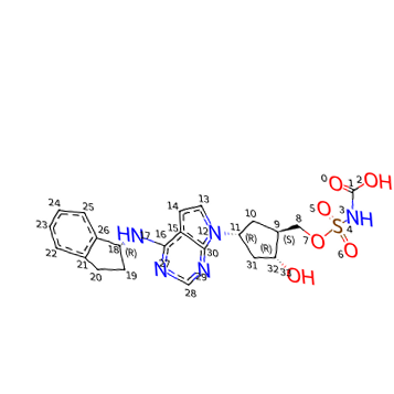 O=C(O)NS(=O)(=O)OC[C@@H]1C[C@@H](n2ccc3c(N[C@@H]4CCc5ccccc54)ncnc32)C[C@H]1O